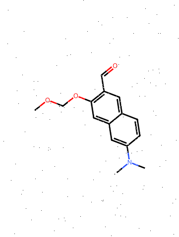 COCOc1cc2cc(N(C)C)ccc2cc1C=O